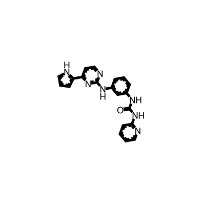 O=C(Nc1cccc(Nc2nccc(-c3ccc[nH]3)n2)c1)Nc1ccccn1